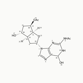 CC(=O)NC1=Nc2c(ncn2[C@@H]2C[C@@H]3[C@H](O2)[C@H](OC(C)=O)C[C@H]3O)C(O)N1